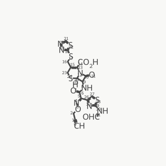 C#CCO/N=C(/C(=O)NC1C(=O)N2C(C(=O)O)=C(CSc3nncs3)CS[C@H]12)c1csc(NC=O)n1